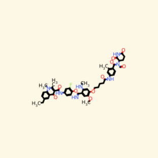 CCc1ccc2c(c1)c(=O)c(C(=O)Nc1ccc(OC(=N)c3cc(OC)c(OCCCCC(=O)Nc4ccc(C(=O)N(C=O)C5CCC(=O)NC5=O)c(C)c4)cc3NC)c(F)c1)c(C)n2C